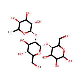 CC1O[C@@H](O[C@H]2C(O)[C@@H](O)C(CO)O[C@H]2O[C@@H]2C(CO)OC(O)C(O)C2O)[C@@H](O)C(O)[C@@H]1O